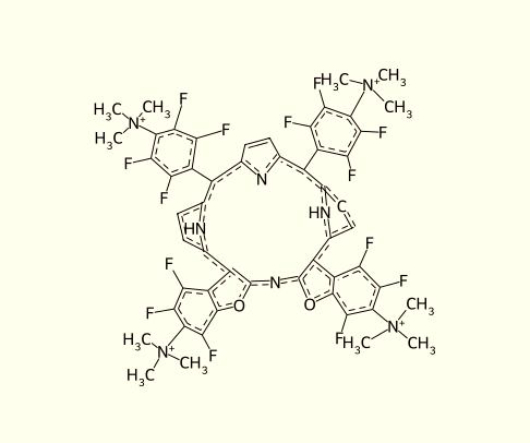 C[N+](C)(C)c1c(F)c(F)c(-c2c3nc(c(-c4c(F)c(F)c([N+](C)(C)C)c(F)c4F)c4ccc([nH]4)c4c(nc5oc6c(F)c([N+](C)(C)C)c(F)c(F)c6c5c5ccc2[nH]5)oc2c(F)c([N+](C)(C)C)c(F)c(F)c24)C=C3)c(F)c1F